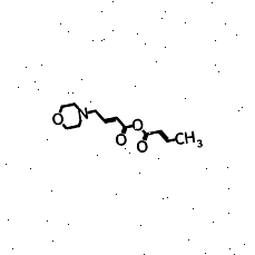 CC=CC(=O)OC(=O)C=CCN1CCOCC1